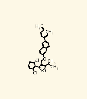 C=C/C=C\C(=C/C)c1ccc2cc(OCc3c(-c4c(Cl)cccc4Cl)noc3C(C)C)ccc2c1